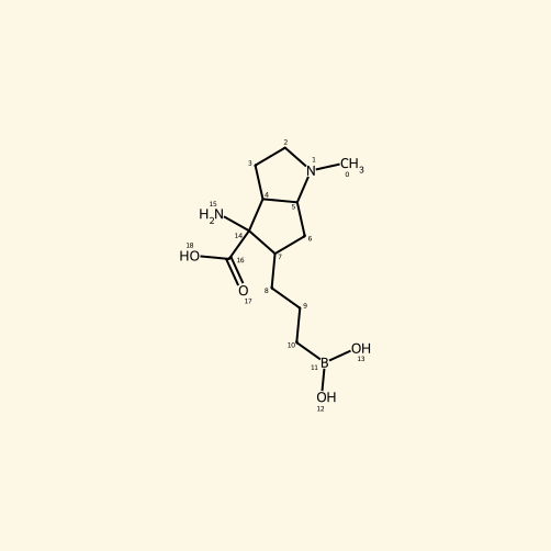 CN1CCC2C1CC(CCCB(O)O)C2(N)C(=O)O